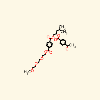 COCCOCCOCCOC(=O)c1ccc(C(=O)OCC(CC(C)C)OC(=O)c2ccc(C(C)=O)cc2)cc1